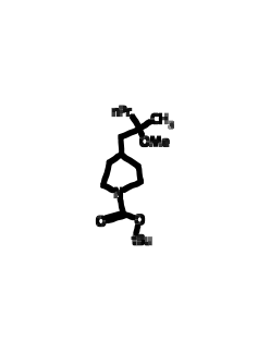 CCCC(C)(CC1CCN(C(=O)OC(C)(C)C)CC1)OC